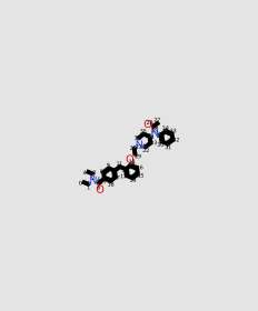 CCN(CC)C(=O)c1ccc(Cc2ccccc2OCCN2CCC(N(C(C)=O)c3ccccc3)CC2)cc1